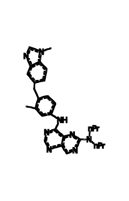 CCCN(CCC)c1ncc2ncnc(Nc3ccc(Cc4ccc5c(c4)ncn5C)c(C)c3)c2n1